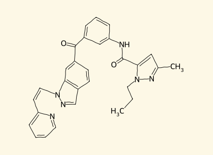 CCCn1nc(C)cc1C(=O)Nc1cccc(C(=O)c2ccc3cnn(C=Cc4ccccn4)c3c2)c1